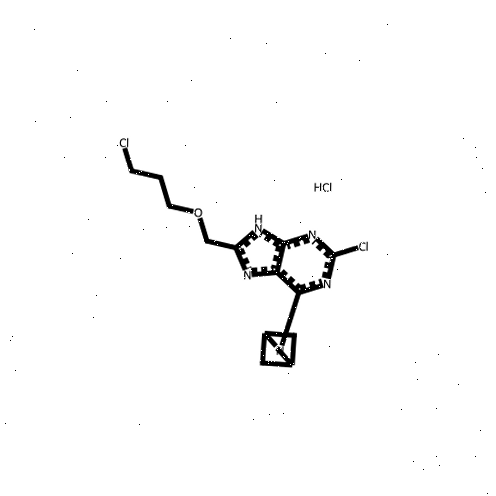 Cl.ClCCCOCc1nc2c(N3CC4CC3C4)nc(Cl)nc2[nH]1